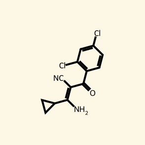 N#CC(C(=O)c1ccc(Cl)cc1Cl)=C(N)C1CC1